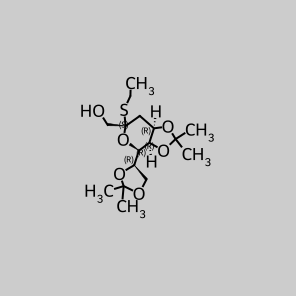 CCS[C@]1(CO)C[C@H]2OC(C)(C)O[C@H]2[C@@H]([C@H]2COC(C)(C)O2)O1